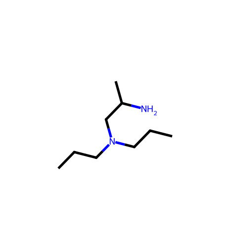 CCCN(CCC)CC(C)N